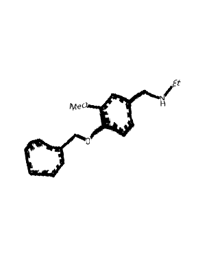 CCNCc1ccc(OCc2ccccc2)c(OC)c1